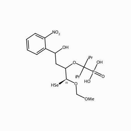 COCO[C@@H]([SeH])C(CC(O)c1ccccc1[N+](=O)[O-])OC(C(C)C)(C(C)C)P(=O)(O)O